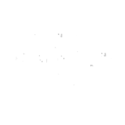 N[C@@H]1CCCN(P(N)(=O)NS(=O)(=O)O)C1=O